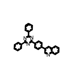 c1ccc(-c2nc(-c3ccccc3)nc(-c3ccc(-c4cnc5ccccc5c4)cc3)n2)cc#1